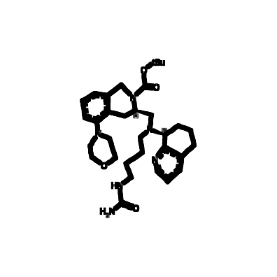 CC(C)(C)OC(=O)N1Cc2cccc(N3CCOCC3)c2C[C@@H]1CN(CCCCNC(N)=O)[C@H]1CCCc2cccnc21